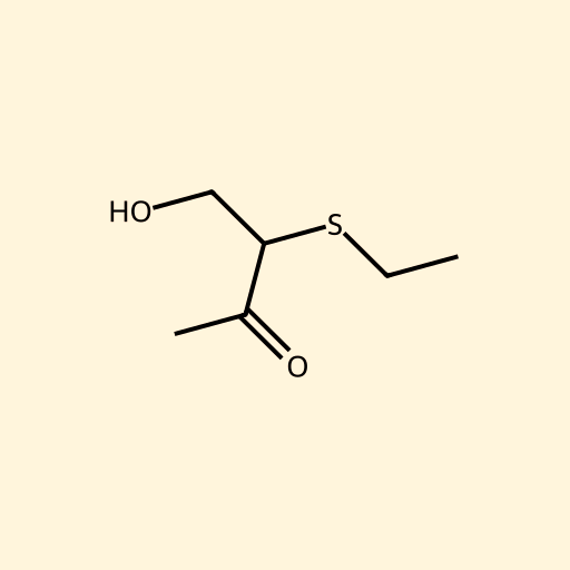 CCSC(CO)C(C)=O